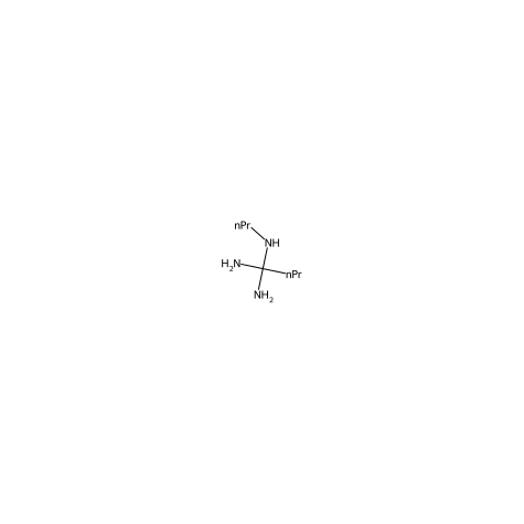 [CH2]CCNC(N)(N)CCC